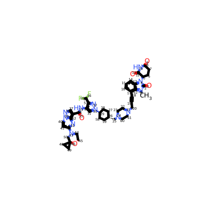 Cn1c(=O)n(C2CCC(=O)NC2=O)c2cccc(C#CCN3CCN(C[C@H]4CC[C@H](n5cc(NC(=O)c6cnn7ccc(N8CCOC9(CC9)C8)nc67)c(C(F)F)n5)CC4)CC3)c21